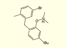 Cc1ccc(Br)cc1Cc1ccc(C(C)(C)C)cc1O[SiH](C)C